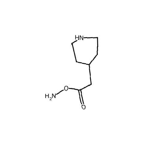 NOC(=O)CC1CCNCC1